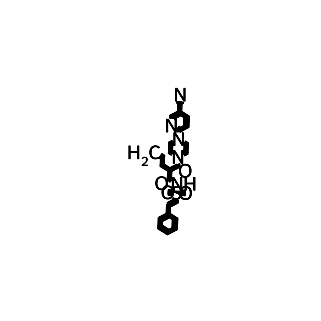 C=CCC(C(=O)NS(=O)(=O)C=Cc1ccccc1)C(=O)N1CCN(c2ccc(C#N)cn2)CC1